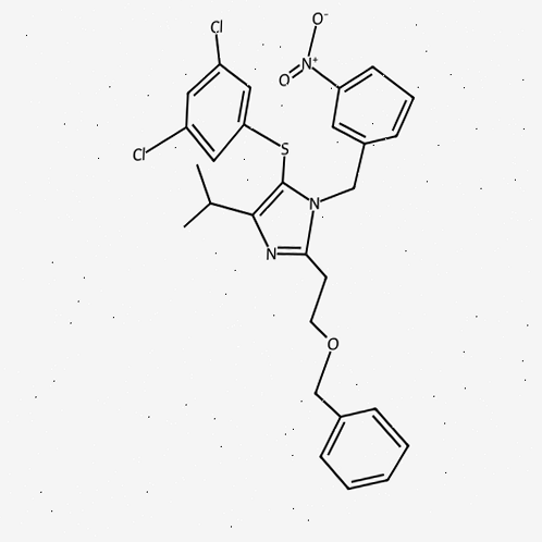 CC(C)c1nc(CCOCc2ccccc2)n(Cc2cccc([N+](=O)[O-])c2)c1Sc1cc(Cl)cc(Cl)c1